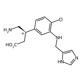 NC[C@H](CC(=O)O)c1ccc(Cl)c(NCc2cnc[nH]2)c1